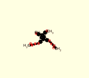 C=CC(=O)OCCOCCOc1ccc(-c2cc(-c3ccc(OCCOCCOC(=O)C=C)cc3)c3ccc4c(-c5ccc(OC)cc5)cc(-c5ccc(OC)cc5)c5ccc2c3c54)cc1